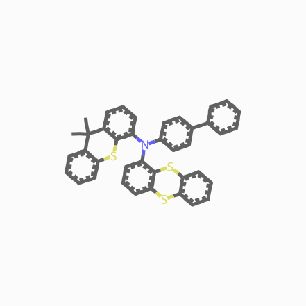 CC1(C)c2ccccc2Sc2c(N(c3ccc(-c4ccccc4)cc3)c3cccc4c3Sc3ccccc3S4)cccc21